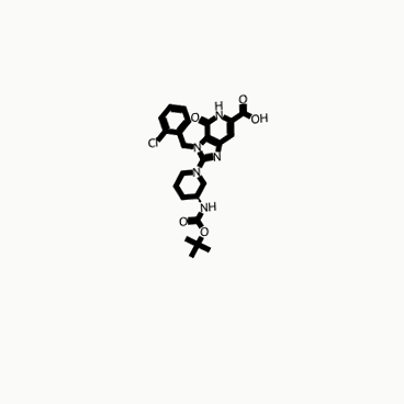 CC(C)(C)OC(=O)N[C@@H]1CCCN(c2nc3cc(C(=O)O)[nH]c(=O)c3n2Cc2ccccc2Cl)C1